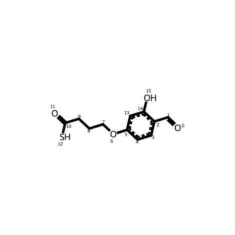 O=Cc1ccc(OCCCC(=O)S)cc1O